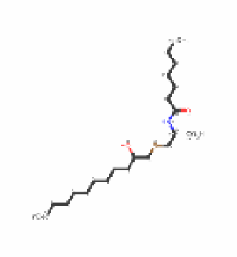 CCCCCCCCCCCCCCCCCCC(O)CSC[C@H](NC(=O)CCCCCCCCCCCCCCC)C(=O)O